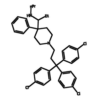 CCCNC(CC)C1(c2ccccc2)CCN(CCC(c2ccc(Cl)cc2)(c2ccc(Cl)cc2)c2ccc(Cl)cc2)CC1